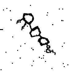 COc1ccc(C2CC=C(c3cccc(F)c3F)CC2)cc1